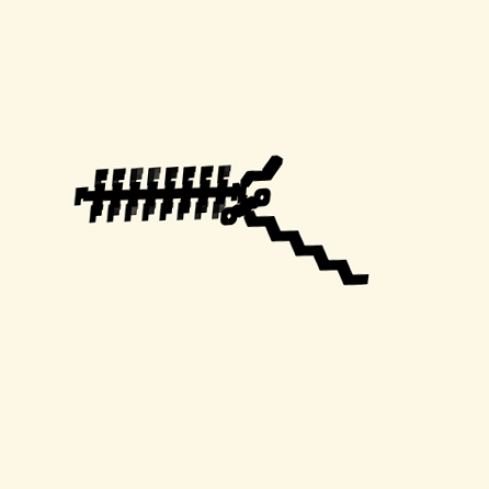 C=CCN(C(F)(F)C(F)(F)C(F)(F)C(F)(F)C(F)(F)C(F)(F)C(F)(F)C(F)(F)F)S(=O)(=O)CCCCCCCCCC